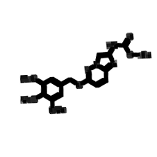 CCCCOC(=O)Nc1cn2nc(OCc3cc(OC)c(OC)c(OC)c3)ccc2n1